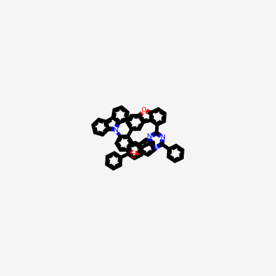 c1ccc(-c2ccc(-c3nc(-c4ccccc4)nc(-c4cccc5oc6ccc(-c7c(-n8c9ccccc9c9ccccc98)ccc8oc9ccccc9c78)cc6c45)n3)cc2)cc1